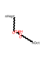 CCCCCCCC=CCCCCCCCCC(=O)OCC(O)COC(=O)CCCCCCCC=CCCCCCCCC